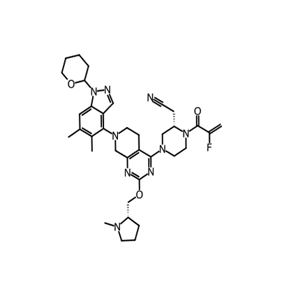 C=C(F)C(=O)N1CCN(c2nc(OC[C@@H]3CCCN3C)nc3c2CCN(c2c(C)c(C)cc4c2cnn4C2CCCCO2)C3)C[C@@H]1CC#N